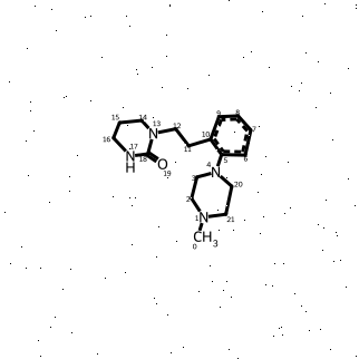 CN1CCN(c2ccccc2CCN2CCCNC2=O)CC1